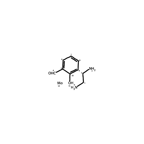 NCCN.O=Cc1ccccc1O.[Mo]